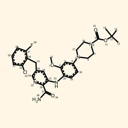 COc1cc(N2CCN(C(=O)OC(C)(C)C)CC2)ccc1Nc1cc(Cc2c(F)cccc2Cl)cnc1C(N)=O